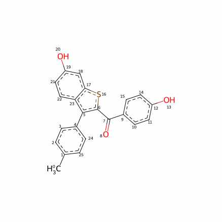 Cc1ccc(-c2c(C(=O)c3ccc(O)cc3)sc3cc(O)ccc23)cc1